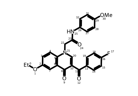 CCOc1ccc2c(c1)c(=O)c(C(=O)c1ccc(F)cc1)cn2CC(=O)Nc1ccc(OC)cc1